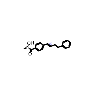 CN(O)C(=O)c1ccc(/C=C/CCc2ccccc2)cc1